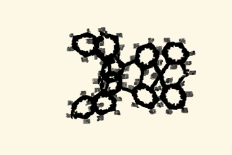 c1ccc(-c2cc(-c3ccccc3)nc(-c3cccc4c3-c3c(-c5cc(-c6ccncc6)nc(-c6ccncc6)c5)cccc3C43c4ccccc4Sc4ccccc43)n2)cc1